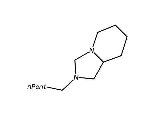 CCCCCCN1CC2CCCCN2C1